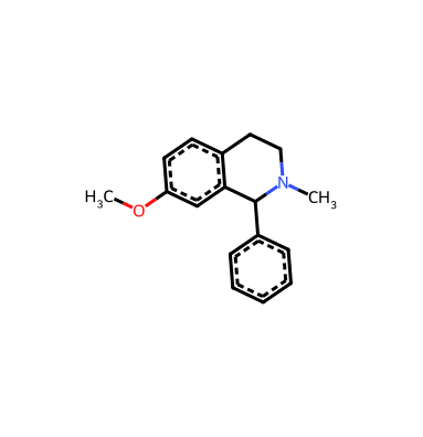 COc1ccc2c(c1)C(c1ccccc1)N(C)CC2